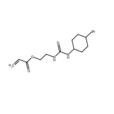 C=CC(=O)OCCNC(=O)NC1CCC(C(C)C)CC1